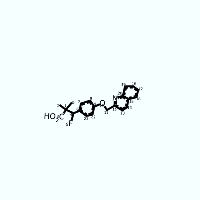 CC(C)(C(=O)O)C(F)c1ccc(OCc2ccc3ccccc3n2)cc1